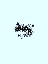 COc1cc(C(=O)N2C[C@H](OC(N)=O)CC[C@@H]2C)cc2nc(-c3cc4ccsc4n3CC3CC3)n(C)c12